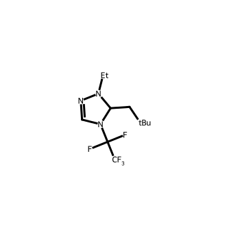 CCN1N=CN(C(F)(F)C(F)(F)F)C1CC(C)(C)C